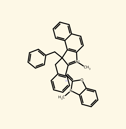 CN1/C(=C/C2=[N+](C)c3ccc4ccccc4c3C2(Cc2ccccc2)Cc2ccccc2)Oc2ccccc21